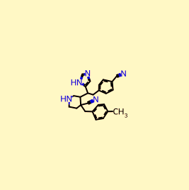 Cc1ccc(CC2(C#N)CCNCC2C(Cc2ccc(C#N)cc2)c2cnc[nH]2)cc1